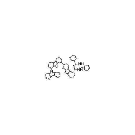 C1=c2sc3cc(-c4cccc5c4oc4c(-n6c7ccccc7c7ccccc76)cccc45)ccc3c2=C(C2N=C(c3ccccc3)NC(c3ccccc3)N2)CC1